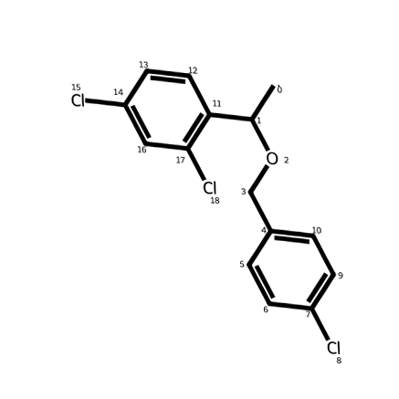 [CH2]C(OCc1ccc(Cl)cc1)c1ccc(Cl)cc1Cl